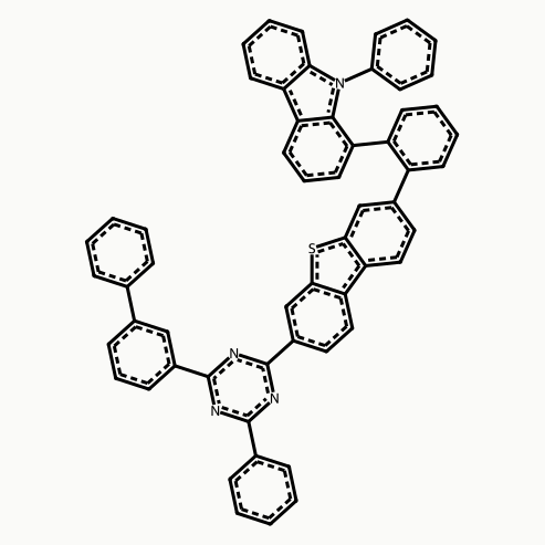 c1ccc(-c2cccc(-c3nc(-c4ccccc4)nc(-c4ccc5c(c4)sc4cc(-c6ccccc6-c6cccc7c8ccccc8n(-c8ccccc8)c67)ccc45)n3)c2)cc1